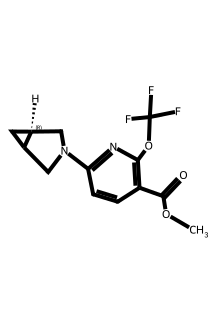 COC(=O)c1ccc(N2CC3C[C@H]3C2)nc1OC(F)(F)F